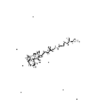 CCC(=O)CCCCCCOC(=O)CCCNC(=O)NC12CC3CC(CC(C3)C1)C2